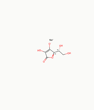 O=C1O[C@H]([C@H](O)CO)C([O-])=C1O.[Na+]